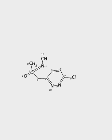 CS(=O)(Cc1ccc(Cl)nn1)=NC#N